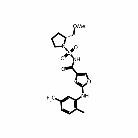 COC[C@H]1CCCN1S(=O)(=O)NC(=O)c1coc(Nc2cc(C(F)(F)F)ccc2C)n1